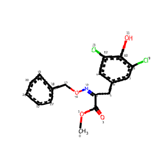 COC(=O)C(Cc1cc(Cl)c(O)c(Cl)c1)=NOCc1ccccc1